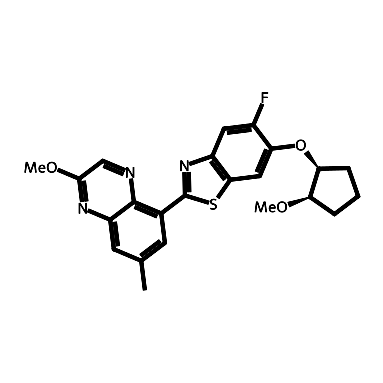 COc1cnc2c(-c3nc4cc(F)c(O[C@H]5CCC[C@H]5OC)cc4s3)cc(C)cc2n1